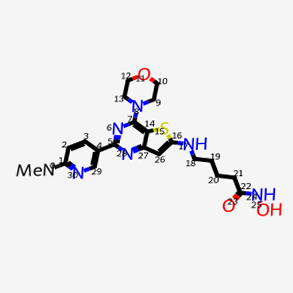 CNc1ccc(-c2nc(N3CCOCC3)c3sc(NCCCCC(=O)NO)cc3n2)cn1